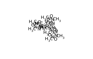 Cn1c(=O)c2c(ncn2C(C(C)(C)CC(C)(C)n2cnc3c2c(=O)n(C)c(=O)n3C)C(C)(C)CC(C)(C)n2cnc3c2c(=O)n(C)c(=O)n3C)n(C)c1=O